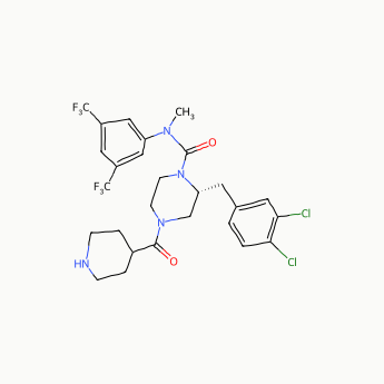 CN(C(=O)N1CCN(C(=O)C2CCNCC2)C[C@H]1Cc1ccc(Cl)c(Cl)c1)c1cc(C(F)(F)F)cc(C(F)(F)F)c1